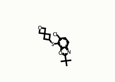 CC(C)(C)c1nc2ccc(Cl)c(SC3CC4(COC4)C3)c2o1